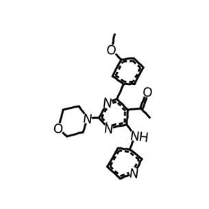 COc1cccc(-c2nc(N3CCOCC3)nc(Nc3cccnc3)c2C(C)=O)c1